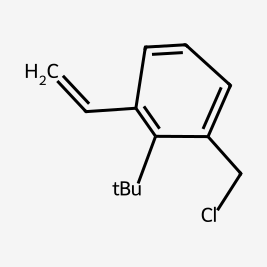 C=Cc1cccc(CCl)c1C(C)(C)C